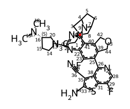 CCN1CC2CCC(C1)N2c1nc(N2CC[C@H](N(C)C)C2)nc2c(F)c(-c3ncc(F)c4sc(N)c(C#N)c34)c3c(c12)COC3